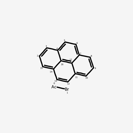 CC(=O)Br.c1cc2ccc3cccc4ccc(c1)c2c34